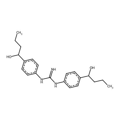 CCCC(O)c1ccc(NC(=N)Nc2ccc(C(O)CCC)cc2)cc1